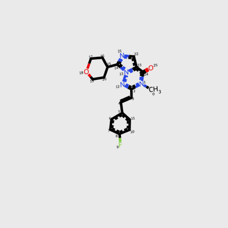 Cn1c(C=Cc2ccc(F)cc2)nn2c(C3CCOCC3)ncc2c1=O